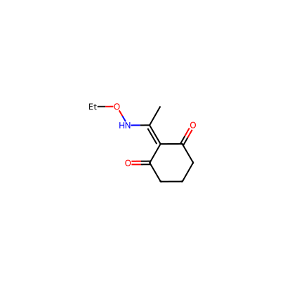 CCONC(C)=C1C(=O)CCCC1=O